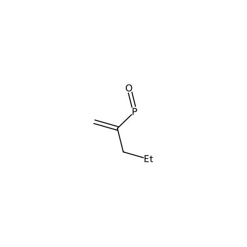 C=C(CCC)P=O